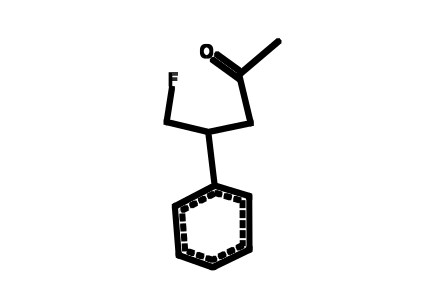 CC(=O)CC(CF)c1ccccc1